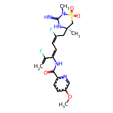 C=C(F)/C(=C\C=C(\F)C[C@]1(C)CS(=O)(=O)N(C)C(=N)N1)NC(=O)c1ccc(OC)cn1